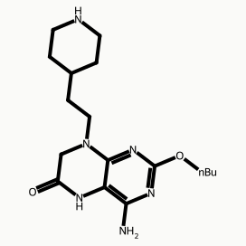 CCCCOc1nc(N)c2c(n1)N(CCC1CCNCC1)CC(=O)N2